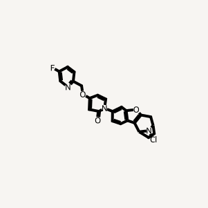 O=c1cc(OCc2ccc(F)cn2)ccn1-c1ccc2c3c(oc2c1)CC1CCC3N1Cl